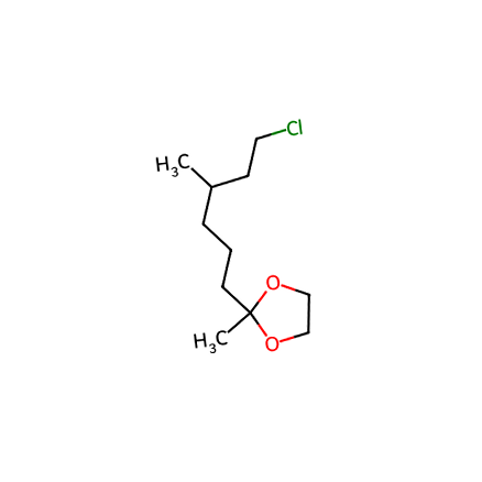 CC(CCCl)CCCC1(C)OCCO1